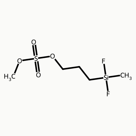 COS(=O)(=O)OCCC[Si](C)(F)F